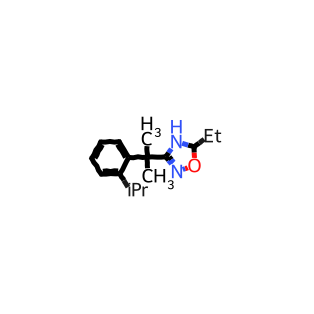 CCC1NC(C(C)(C)c2ccccc2C(C)C)=NO1